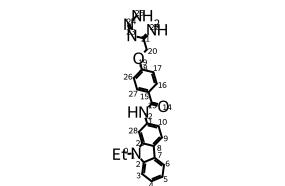 CCn1c2ccccc2c2ccc(NC(=O)c3ccc(OCC(=N)/N=N\N)cc3)cc21